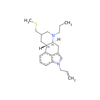 C=CCn1cc2c3c(cccc31)[C@@H]1CC(CSC)CN(CCC)[C@H]1C2